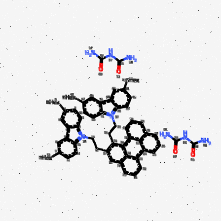 CCCCCCc1ccc2c(c1)c1cc(CCCCCC)ccc1n2CCc1cc2cccc3c4cccc5cccc(c(c1CCn1c6ccc(CCCCCC)cc6c6cc(CCCCCC)ccc61)c23)c54.NC(=O)NC(N)=O.NC(=O)NC(N)=O